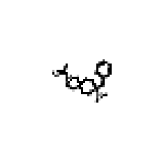 CC(=O)N1CCC2(CCC(Cc3ccccc3)(N(C)C)CC2)C1